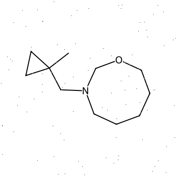 CC1(CN2CCCCCOC2)CC1